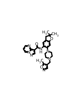 Cc1oncc1CN1CCN(c2cc3c(cc2NC(=O)c2cnn4cccnc24)CC(C)(C)O3)CC1